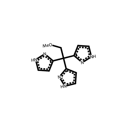 COCC(c1cc[nH]n1)(c1cc[nH]n1)c1cc[nH]n1